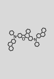 c1ccc(N(c2ccc3c(ccc4ccccc43)c2)c2ccc3c(c2)oc2c4ccc(N(c5ccccc5)c5ccc6c(ccc7ccccc76)c5)cc4c4ccccc4c32)cc1